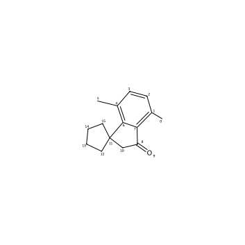 Cc1ccc(C)c2c1C(=O)CC21CCCC1